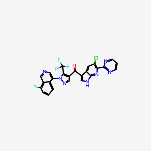 O=C(c1cnn(-c2cncc3c(F)cccc23)c1C(F)(F)F)c1c[nH]c2nc(-c3ncccn3)c(Cl)cc12